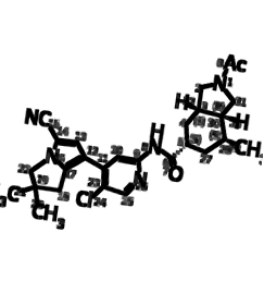 CC(=O)N1C[C@H]2C[C@@H](C(=O)Nc3cc(-c4cc(C#N)n5c4CC(C)(C)C5)c(Cl)cn3)C[C@H](C)[C@H]2C1